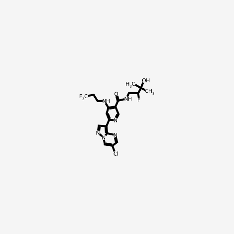 CC(C)(O)C(F)CNC(=O)c1cnc(-c2cnn3cc(Cl)cnc23)cc1NCCC(F)(F)F